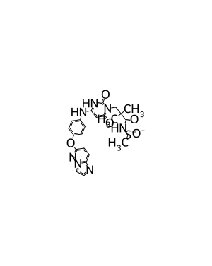 C[S+]([O-])NC(=O)C(C)(C)Cn1c(=O)cc(Nc2ccc(Oc3ccc4nccn4n3)cc2)[nH]c1=O